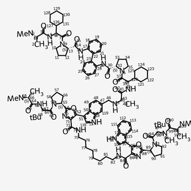 CN[C@@H](C)C(=O)N[C@H](C(=O)N1CCC[C@H]1C(=O)Nc1ccccc1-c1ccccc1NC(=O)[C@@H]1CCCN1C(=O)[C@@H](NC(=O)[C@H](C)NCc1ccc2c(-c3oc([C@@H]4CCCN4C(=O)[C@@H](NC(=O)[C@H](C)NC)C(C)(C)C)nc3C(=O)NCCCCCCCCNC(=O)c3nc([C@@H]4CCCN4C(=O)[C@@H](N(C)C(=O)[C@H](C)NC)C(C)(C)C)oc3-c3c[nH]c4ccccc34)c[nH]c2c1)C1CCCCC1)C1CCCCC1